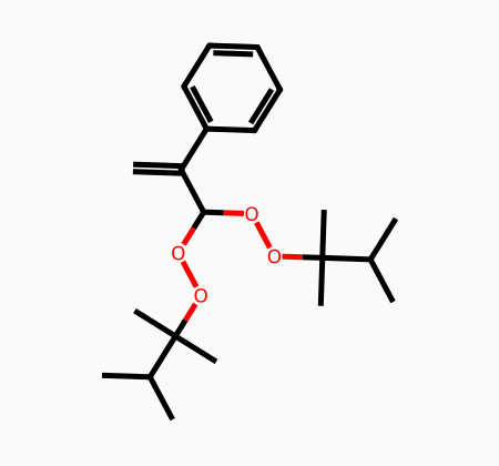 C=C(c1ccccc1)C(OOC(C)(C)C(C)C)OOC(C)(C)C(C)C